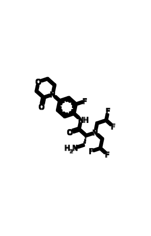 NC[C@H](C(=O)Nc1ccc(N2CCOCC2=O)cc1F)N(CC(F)F)CC(F)F